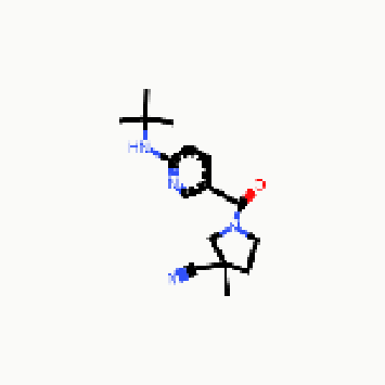 CC(C)(C)Nc1ccc(C(=O)N2CC[C@](C)(C#N)C2)cn1